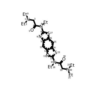 CCN(CC)CC(=O)N(CC)c1nc2cc3nc(N(CC)C(=O)CN(CC)CC)sc3cc2s1